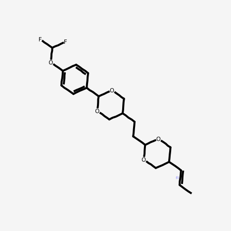 C/C=C/C1COC(CCC2COC(c3ccc(OC(F)F)cc3)OC2)OC1